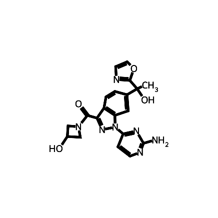 CC(O)(c1ccc2c(C(=O)N3CC(O)C3)nn(-c3ccnc(N)n3)c2c1)c1ncco1